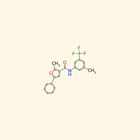 Cc1cc(NC(=O)c2cc(-c3ccccc3)oc2C)cc(C(F)(F)F)c1